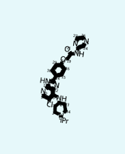 CC(C)N1CCC(Nc2c(Cl)cnc3[nH]c(-c4ccc(OCC(=O)Nc5cnccn5)cc4)nc23)CC1